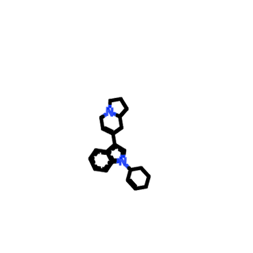 C1=CC(n2cc(C3=CCN4CCCC4C3)c3ccccc32)CCC1